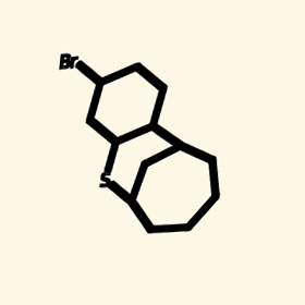 BrC1CCC2C3CCCCC(C3)SC2C1